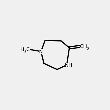 C=C1CCN(C)CCN1